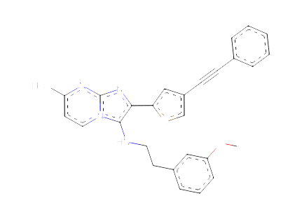 COc1cccc(CCNc2c(-c3cc(C#Cc4ccccc4)cs3)nc3nc(C)ccn23)c1